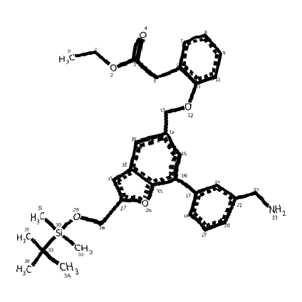 CCOC(=O)Cc1ccccc1OCc1cc(-c2cccc(CN)c2)c2oc(CO[Si](C)(C)C(C)(C)C)cc2c1